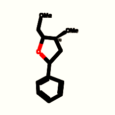 COCC1OC(c2ccccc2)C[C@@H]1OC